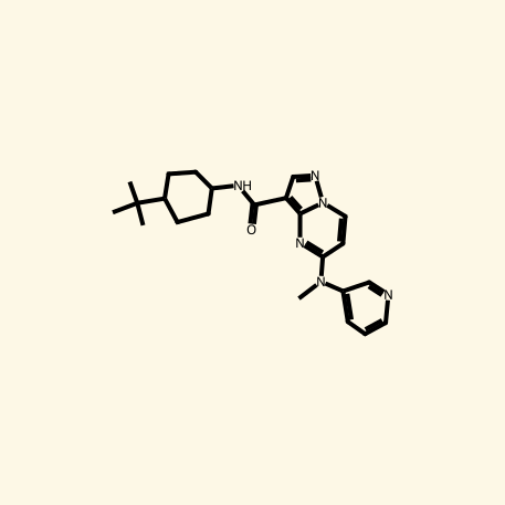 CN(c1cccnc1)c1ccn2ncc(C(=O)NC3CCC(C(C)(C)C)CC3)c2n1